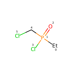 CCP(=O)(Cl)CCl